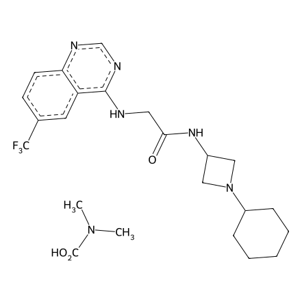 CN(C)C(=O)O.O=C(CNc1ncnc2ccc(C(F)(F)F)cc12)NC1CN(C2CCCCC2)C1